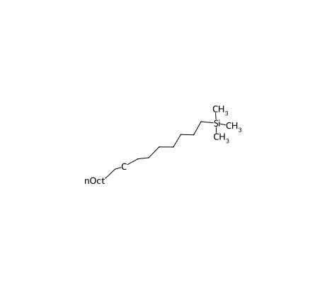 CCCCCCCCCCCCCCCCC[Si](C)(C)C